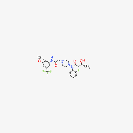 COc1cc(NC(=O)CN2CCN(N(C(=O)CC(C)O)c3ccccc3F)CC2)cc(C(F)(F)F)c1